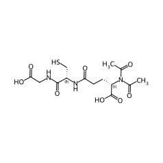 CC(=O)N(C(C)=O)[C@@H](CCC(=O)N[C@@H](CS)C(=O)NCC(=O)O)C(=O)O